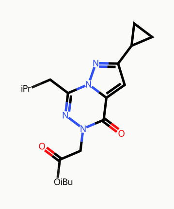 CC(C)COC(=O)Cn1nc(CC(C)C)n2nc(C3CC3)cc2c1=O